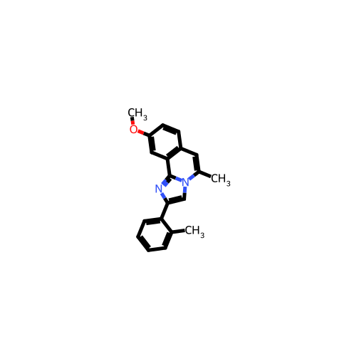 COc1ccc2cc(C)n3cc(-c4ccccc4C)nc3c2c1